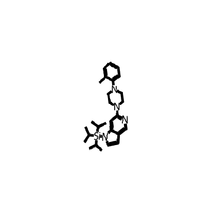 Cc1ccccc1N1CCN(c2cc3c(ccn3[Si](C(C)C)(C(C)C)C(C)C)cn2)CC1